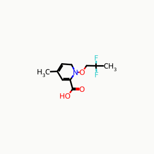 CC1=CCN(OCC(C)(F)F)C(C(=O)O)=C1